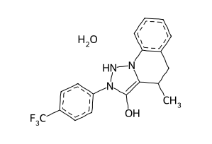 CC1Cc2ccccc2N2NN(c3ccc(C(F)(F)F)cc3)C(O)=C12.O